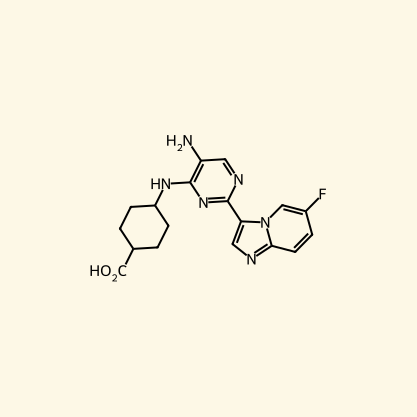 Nc1cnc(-c2cnc3ccc(F)cn23)nc1NC1CCC(C(=O)O)CC1